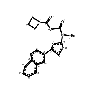 CC(C)(C)N(C(=O)OC(=O)N1CCC1)c1ncc(-c2ccc3cnccc3c2)s1